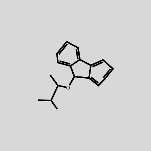 CC(C)C(C)OC1c2ccccc2-c2ccccc21